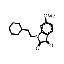 COc1ccc2c(c1)N(CCC1CCCCC1)C(=O)C2=O